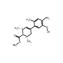 Cc1cc(N)c(OC(C)C)cc1C1=C[C@@H](C)N(C(=O)OC(C)(C)C)[C@@H](C)C1